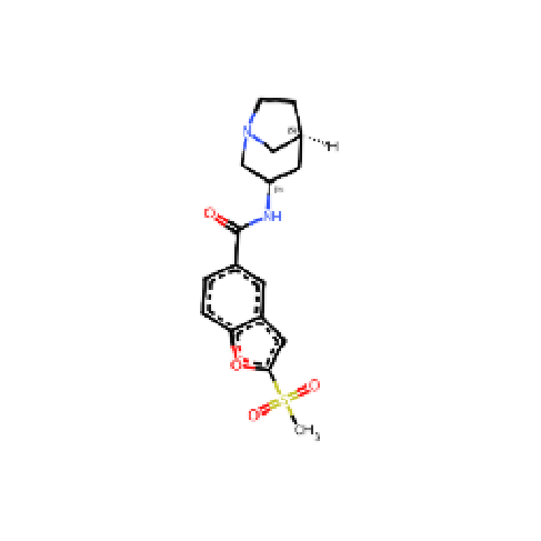 CS(=O)(=O)c1cc2cc(C(=O)N[C@@H]3C[C@@H]4CCN(C4)C3)ccc2o1